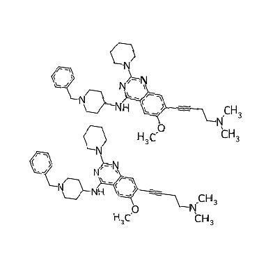 COc1cc2c(NC3CCN(Cc4ccccc4)CC3)nc(N3CCCCC3)nc2cc1C#CCCN(C)C.COc1cc2c(NC3CCN(Cc4ccccc4)CC3)nc(N3CCCCC3)nc2cc1C#CCCN(C)C